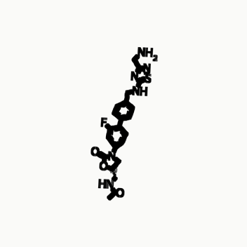 CC(=O)NC[C@H]1CN(c2ccc(-c3ccc(CNc4nc(CN)ns4)cc3)c(F)c2)C(=O)O1